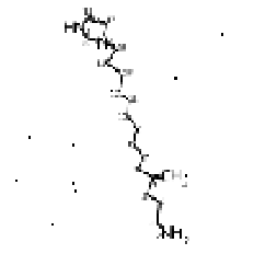 C=C(CCCN)CCCCCCCCCCN1C=CNC1